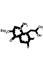 CCOC(=O)c1cn(N)c2c(CC(C)O)c(F)c(F)cc2c1=O